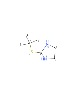 CC(C)(C)SC1NCCN1